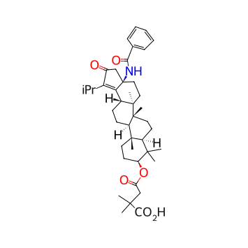 CC(C)C1=C2[C@H]3CC[C@@H]4[C@@]5(C)CC[C@H](OC(=O)CC(C)(C)C(=O)O)C(C)(C)[C@@H]5CC[C@@]4(C)[C@]3(C)CC[C@@]2(NC(=O)c2ccccc2)CC1=O